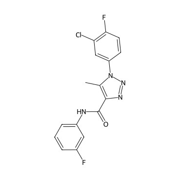 Cc1c(C(=O)Nc2cccc(F)c2)nnn1-c1ccc(F)c(Cl)c1